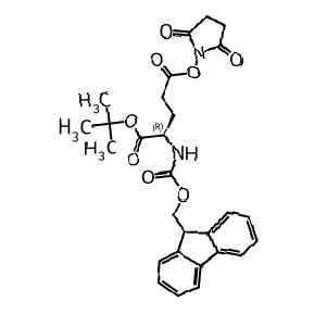 CC(C)(C)OC(=O)[C@@H](CCC(=O)ON1C(=O)CCC1=O)NC(=O)OCC1c2ccccc2-c2ccccc21